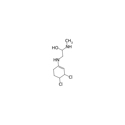 CNC(O)CNC1=CC(Cl)C(Cl)CC1